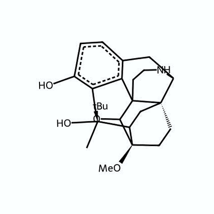 CO[C@]12CC[C@@]3(CC1[C@](C)(O)C(C)(C)C)C1Cc4ccc(O)c5c4C3(CCN1)C2O5